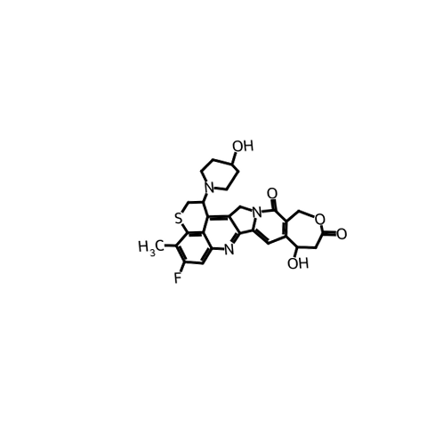 Cc1c(F)cc2nc3c(c4c2c1SCC4N1CCC(O)CC1)Cn1c-3cc2c(c1=O)COC(=O)CC2O